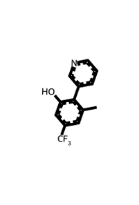 Cc1cc(C(F)(F)F)cc(O)c1-c1cccnc1